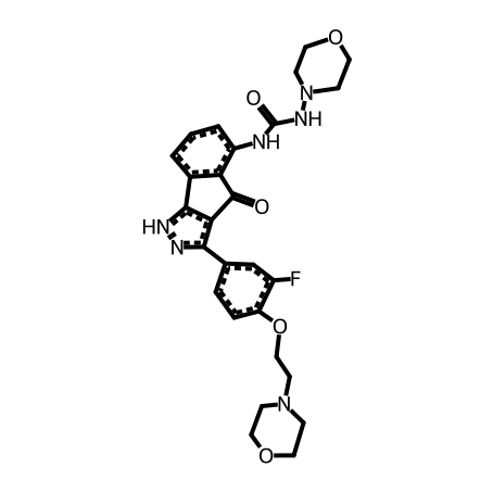 O=C(Nc1cccc2c1C(=O)c1c(-c3ccc(OCCN4CCOCC4)c(F)c3)n[nH]c1-2)NN1CCOCC1